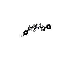 CC1=NN(c2nc(-c3ccc(Cl)cc3)cs2)C(=O)/C1=N/Nc1nc(-c2ccccc2)cs1